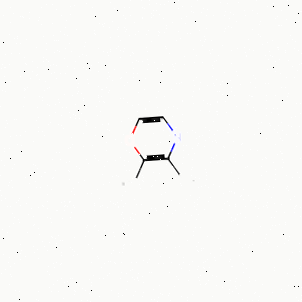 CCCCC1=C(CCCC)OC=C[N]1